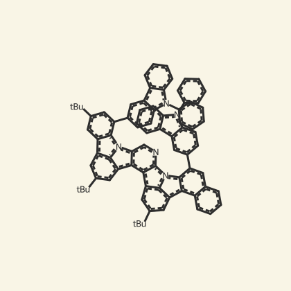 CC(C)(C)c1cc(-c2ccc3c(c2)c2ccccc2n3-c2ccccc2)c2c(c1)c1cc(C(C)(C)C)cc3c4c5c6cc(C(C)(C)C)cc7c8c9ccccc9cc(-c9ccc%10c(c9)c9ccccc9n%10-c9ccccc9)c8n(c5ncc4n2c13)c67